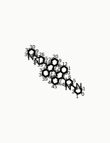 c1ccc(-c2ccc(-c3c4ccccc4c(-c4c5ccccc5c(-c5ccc(-c6ccccn6)nc5)c5ccccc45)c4ccccc34)cn2)nc1